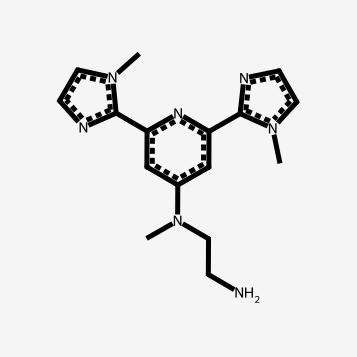 CN(CCN)c1cc(-c2nccn2C)nc(-c2nccn2C)c1